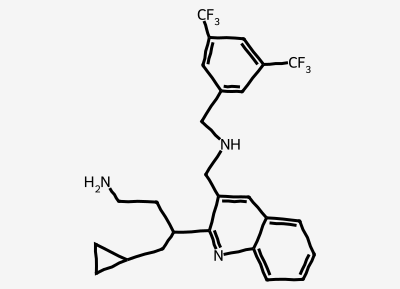 NCCC(CC1CC1)c1nc2ccccc2cc1CNCc1cc(C(F)(F)F)cc(C(F)(F)F)c1